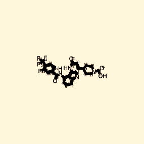 O=C(Nc1cccc2nn3c(C4CCN(C(=O)O)CC4)cc(=O)[nH]c3c12)c1ccc(C(F)(F)F)c(F)c1